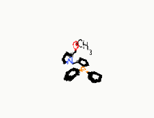 COC[C@@H]1CCCN1C[C@H]1CCCC1P(c1ccccc1)c1ccccc1